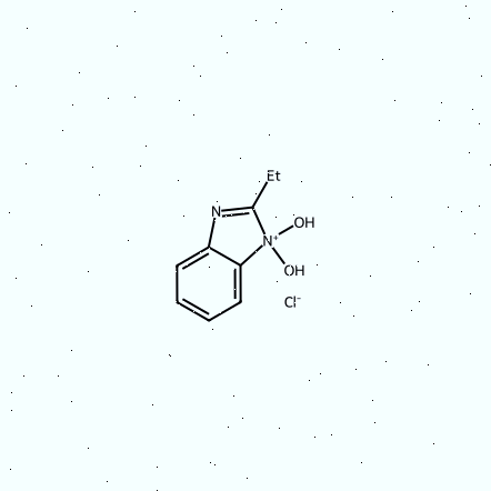 CCC1=Nc2ccccc2[N+]1(O)O.[Cl-]